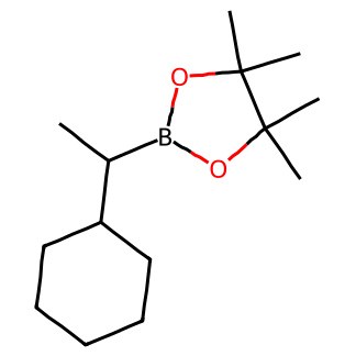 CC(B1OC(C)(C)C(C)(C)O1)C1CCCCC1